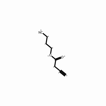 C#CCC(=O)OCCCC#N